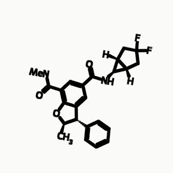 CNC(=O)c1cc(C(=O)N[C@H]2[C@@H]3CC(F)(F)C[C@@H]32)cc2c1O[C@H](C)[C@H]2c1ccccc1